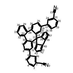 N#Cc1cccc(-c2ccc3c(c2)C2(c4cc(-c5cccc(C#N)c5)ccc4-c4ccccc4-3)c3ccccc3-c3ccccc32)c1